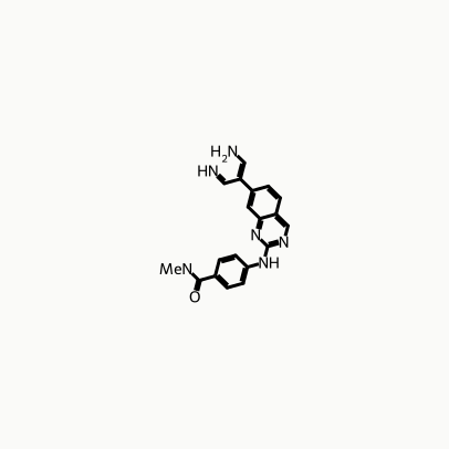 CNC(=O)c1ccc(Nc2ncc3ccc(/C(C=N)=C/N)cc3n2)cc1